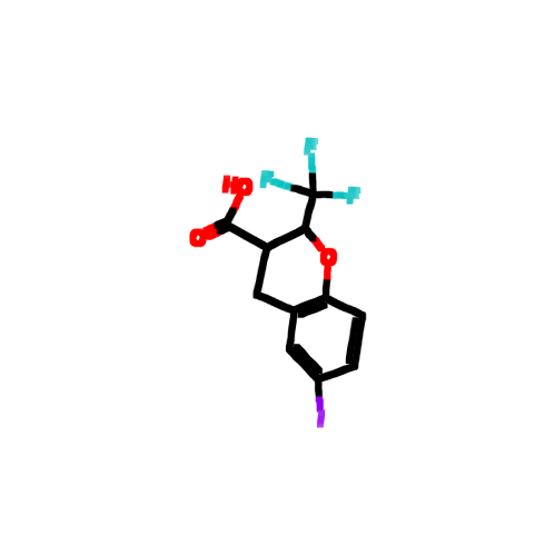 O=C(O)C1Cc2cc(I)ccc2OC1C(F)(F)F